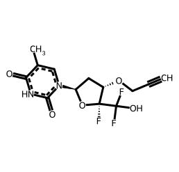 C#CCO[C@H]1C[C@H](n2cc(C)c(=O)[nH]c2=O)O[C@]1(F)C(O)(F)F